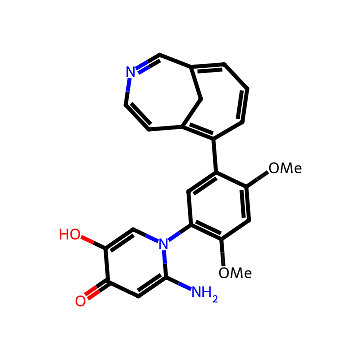 COc1cc(OC)c(-n2cc(O)c(=O)cc2N)cc1C1=C2C=CN=CC(=CC=C1)C2